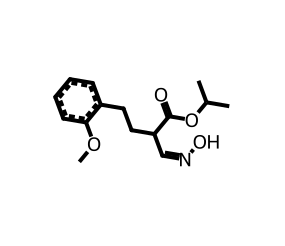 COc1ccccc1CCC(/C=N\O)C(=O)OC(C)C